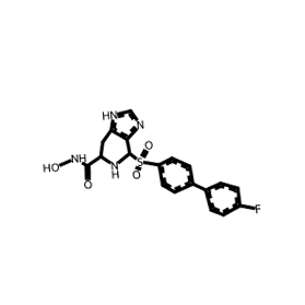 O=C(NO)C1Cc2[nH]cnc2C(S(=O)(=O)c2ccc(-c3ccc(F)cc3)cc2)N1